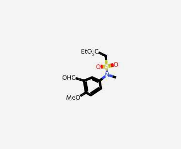 CCOC(=O)CS(=O)(=O)N(C)c1ccc(OC)c(C=O)c1